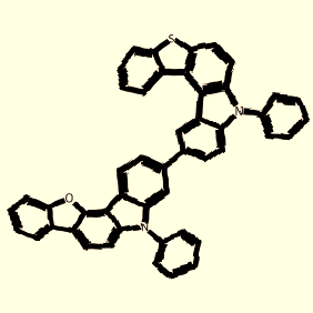 c1ccc(-n2c3cc(-c4ccc5c(c4)c4c6c(ccc4n5-c4ccccc4)sc4ccccc46)ccc3c3c4oc5ccccc5c4ccc32)cc1